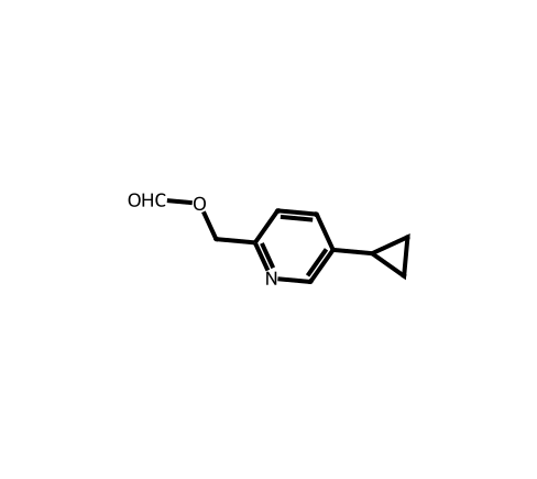 O=COCc1ccc(C2CC2)cn1